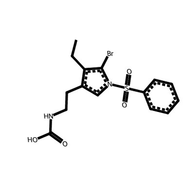 CCc1c(CCNC(=O)O)cn(S(=O)(=O)c2ccccc2)c1Br